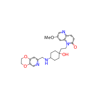 COc1cnc2ccc(=O)n(CCC3(O)CCC(NCc4cc5c(cn4)OCCO5)CC3)c2c1